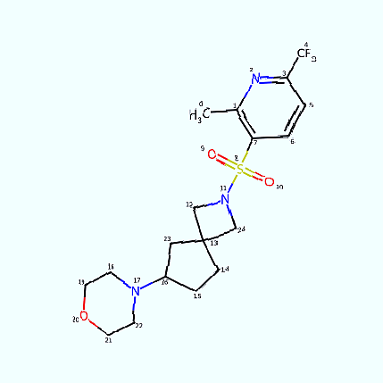 Cc1nc(C(F)(F)F)ccc1S(=O)(=O)N1CC2(CCC(N3CCOCC3)C2)C1